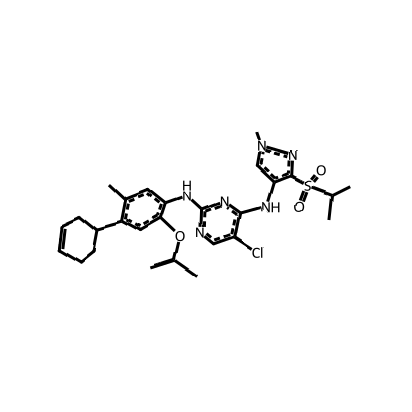 Cc1cc(Nc2ncc(Cl)c(Nc3cn(C)nc3S(=O)(=O)C(C)C)n2)c(OC(C)C)cc1C1CC=CCC1